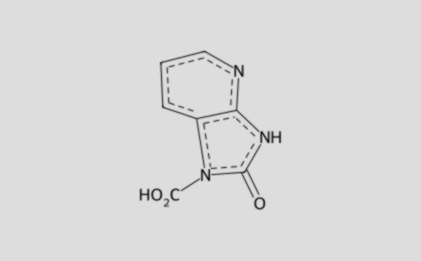 O=C(O)n1c(=O)[nH]c2ncccc21